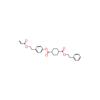 C=CC(=O)OCCc1ccc(OC(=O)C2CCC(C(=O)OCCc3ccccc3)CC2)cc1